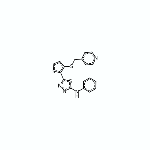 c1ccc(Nc2nnc(-c3sccc3SCc3ccncc3)s2)cc1